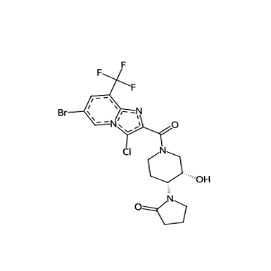 O=C(c1nc2c(C(F)(F)F)cc(Br)cn2c1Cl)N1CC[C@@H](N2CCCC2=O)[C@@H](O)C1